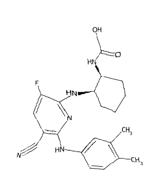 Cc1ccc(Nc2nc(N[C@@H]3CCCC[C@@H]3NC(=O)O)c(F)cc2C#N)cc1C